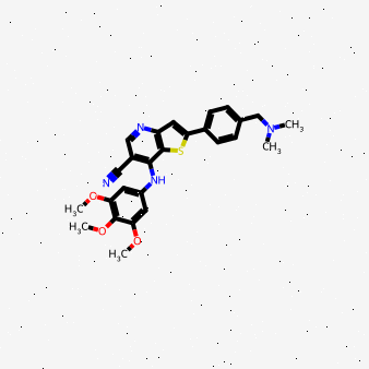 COc1cc(Nc2c(C#N)cnc3cc(-c4ccc(CN(C)C)cc4)sc23)cc(OC)c1OC